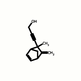 C=C1C2C=CC(C2)C1(C)C#CCO